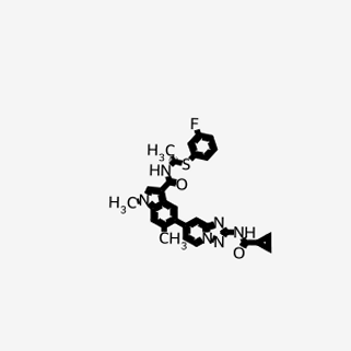 Cc1cc2c(cc1-c1ccn3nc(NC(=O)C4CC4)nc3c1)c(C(=O)N[C@@H](C)Sc1cccc(F)c1)cn2C